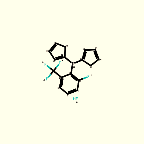 F.Fc1cccc(C(F)(F)F)[c]1[Ti]([C]1=CC=CC1)[C]1=CC=CC1